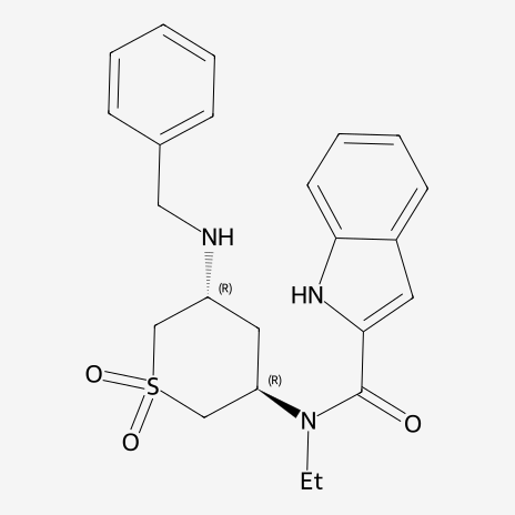 CCN(C(=O)c1cc2ccccc2[nH]1)[C@@H]1C[C@@H](NCc2ccccc2)CS(=O)(=O)C1